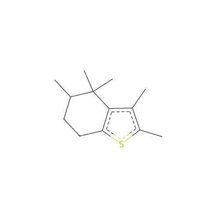 Cc1sc2c(c1C)C(C)(C)C(C)CC2